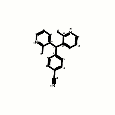 Cc1ncccc1C(c1ccc(C#N)cc1)c1cccnc1C